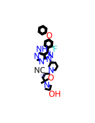 CC(C)(/C=C(/C#N)C(=O)N1CCC[C@@H](n2nc(-c3ccc(Oc4ccccc4)cc3F)c3c(N)ncnc32)C1)N1CC(O)C1